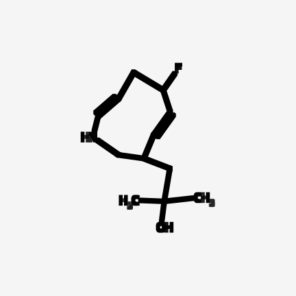 CC(C)(O)CC1/C=C/C(F)C/C=C/NC1